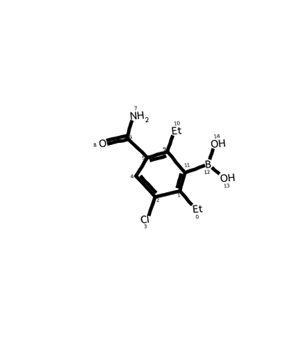 CCc1c(Cl)cc(C(N)=O)c(CC)c1B(O)O